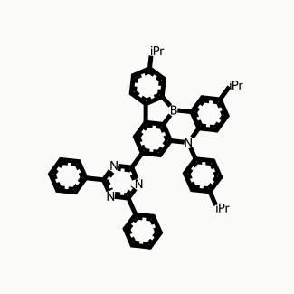 CC(C)c1ccc(N2c3ccc(C(C)C)cc3B3c4cc(C(C)C)ccc4-c4cc(-c5nc(-c6ccccc6)nc(-c6ccccc6)n5)cc2c43)cc1